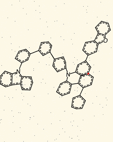 c1ccc(-c2ccccc2-c2ccccc2N(c2ccc(-c3cccc(-c4cccc(-n5c6ccccc6c6ccccc65)c4)c3)cc2)c2cccc(-c3ccc4c(c3)oc3ccccc34)c2)cc1